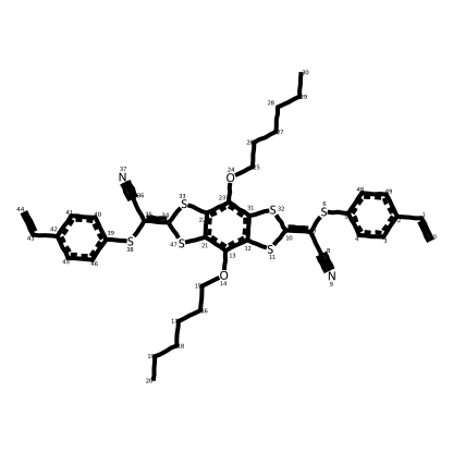 C=Cc1ccc(SC(C#N)=C2Sc3c(OCCCCCC)c4c(c(OCCCCCC)c3S2)SC(=C(C#N)Sc2ccc(C=C)cc2)S4)cc1